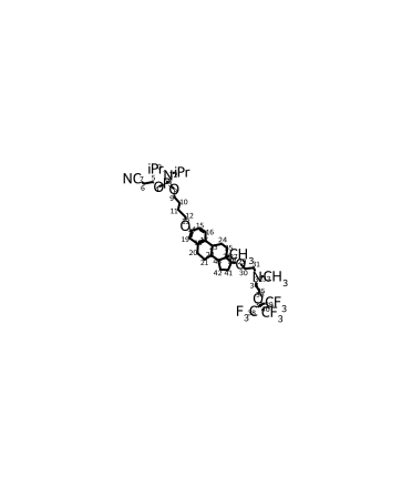 CC(C)N(C(C)C)P(OCCC#N)OCCCCOc1ccc2c(c1)CCC1C2CCC2(C)C(OCCN(C)CCOC(C(F)(F)F)(C(F)(F)F)C(F)(F)F)CCC12